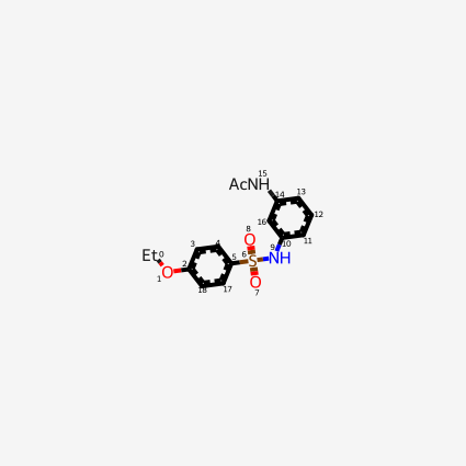 CCOc1ccc(S(=O)(=O)Nc2cccc(NC(C)=O)c2)cc1